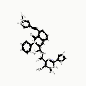 C=N/C(N)=C(\N=C(/C)c1cscn1)C(=O)NC(C)c1cc2cccc(C#Cc3cnn(C)c3)c2c(=O)n1-c1ccccc1